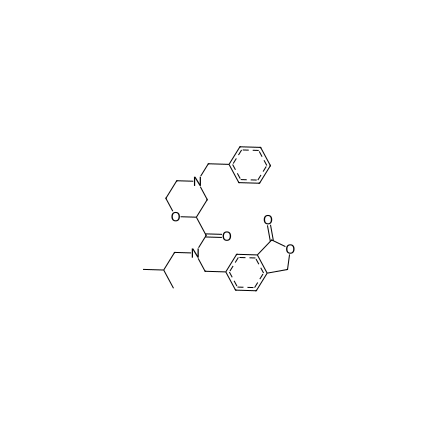 CC(C)CN(Cc1ccc2c(c1)C(=O)OC2)C(=O)C1CN(Cc2ccccc2)CCO1